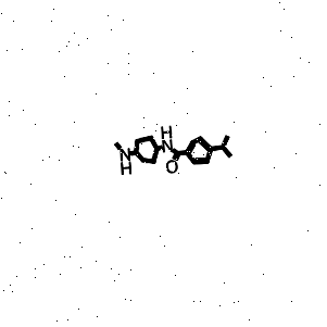 CNC1CCC(NC(=O)c2ccc(C(C)C)cc2)CC1